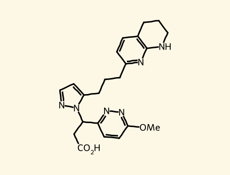 COc1ccc(C(CC(=O)O)n2nccc2CCCc2ccc3c(n2)NCCC3)nn1